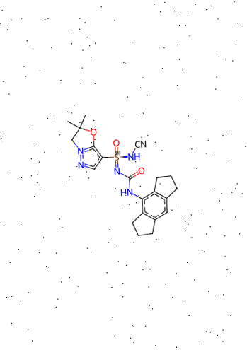 CC1(C)Cn2ncc([S@](=O)(=NC(=O)Nc3c4c(cc5c3CCC5)CCC4)NC#N)c2O1